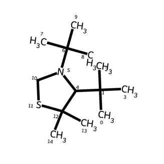 CC(C)(C)C1N(C(C)(C)C)CSC1(C)C